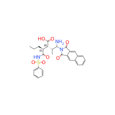 CCC[C@H](C(=O)NS(=O)(=O)c1ccccc1)[C@H](C(=O)O)C(C)C(N)N1C(=O)c2cc3ccccc3cc2C1=O